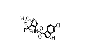 Cn1ncc(NS(=O)(=O)c2c[nH]c3cc(Cl)ccc23)c1C(F)(F)F